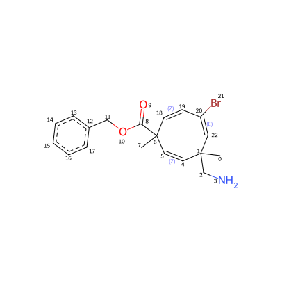 CC1(CN)/C=C\C(C)(C(=O)OCc2ccccc2)/C=C\C(Br)=C/1